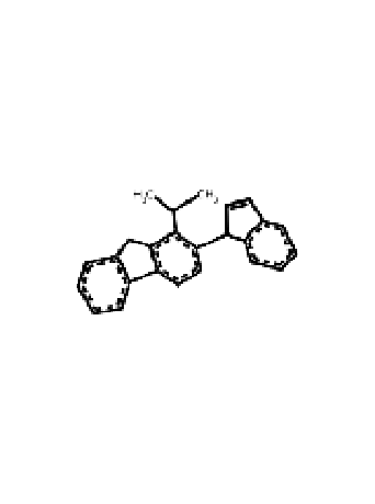 CC(C)c1c(C2C=Cc3ccccc32)ccc2c1Cc1ccccc1-2